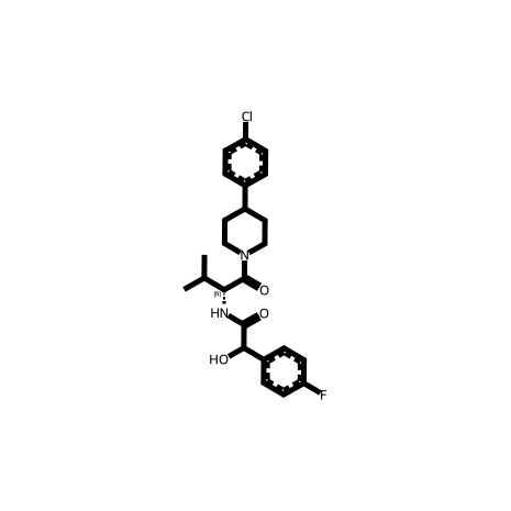 CC(C)[C@@H](NC(=O)C(O)c1ccc(F)cc1)C(=O)N1CCC(c2ccc(Cl)cc2)CC1